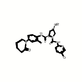 CO[C@@H]1C[C@H](C(=O)Nc2ccc(N3CCCCC3=O)cc2F)N(C(=O)Nc2ccc(Cl)cn2)C1